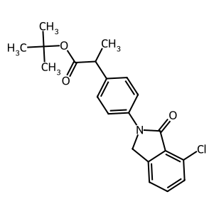 CC(C(=O)OC(C)(C)C)c1ccc(N2Cc3cccc(Cl)c3C2=O)cc1